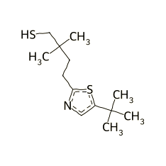 CC(C)(CS)CCc1ncc(C(C)(C)C)s1